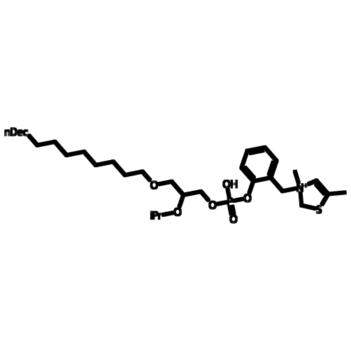 CCCCCCCCCCCCCCCCCCOCC(COP(=O)(O)Oc1ccccc1C[N+]1(C)C=C(C)SC1)OC(C)C